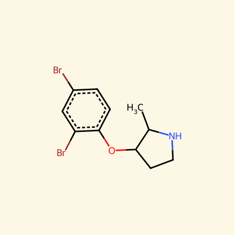 CC1NCCC1Oc1ccc(Br)cc1Br